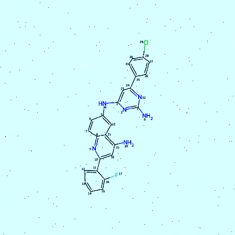 Nc1nc(Nc2ccc3nc(-c4ccccc4F)cc(N)c3c2)cc(-c2ccc(Cl)cc2)n1